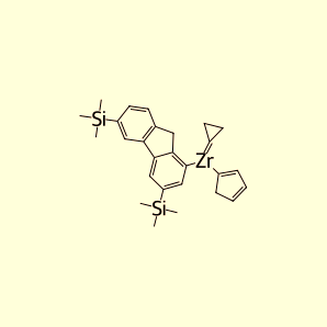 C[Si](C)(C)c1ccc2c(c1)-c1cc([Si](C)(C)C)c[c]([Zr]([C]3=CC=CC3)=[C]3CC3)c1C2